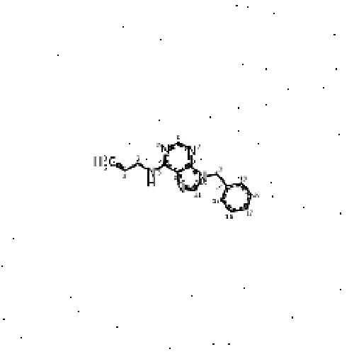 C=CCNc1ncnc2c1ncn2Cc1ccccc1